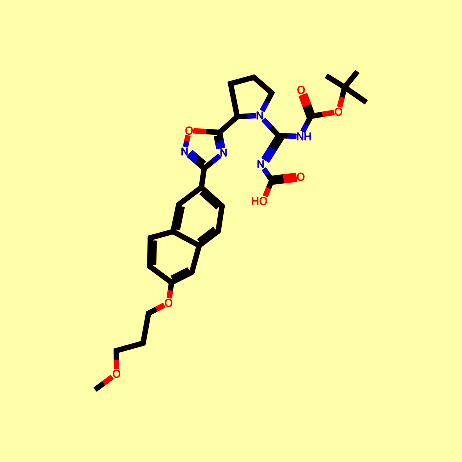 COCCCOc1ccc2cc(-c3noc(C4CCCN4C(=NC(=O)O)NC(=O)OC(C)(C)C)n3)ccc2c1